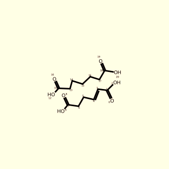 O=C(O)C=CCCC(=O)O.O=C(O)CCCCCC(=O)O